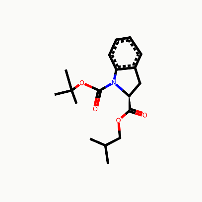 CC(C)COC(=O)[C@@H]1Cc2ccccc2N1C(=O)OC(C)(C)C